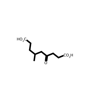 CC(CCC(=O)O)CC(=O)CCC(=O)O